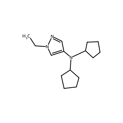 CCn1cc(N(C2CCCC2)C2CCCC2)cn1